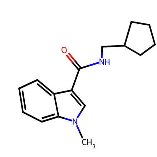 Cn1cc(C(=O)NCC2CCCC2)c2ccccc21